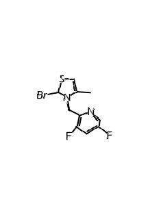 CC1=CSC(Br)N1Cc1ncc(F)cc1F